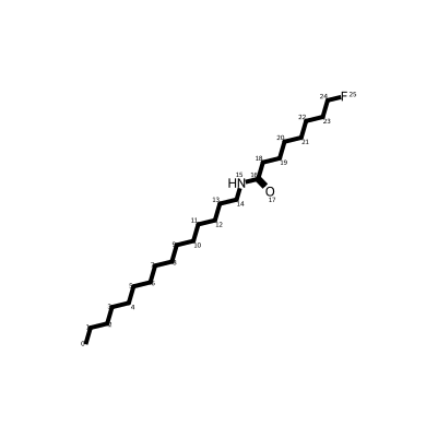 CCCCCCCCCCCCCCCNC(=O)CCCCCCCF